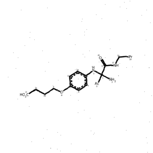 CC(=O)C(N)(Nc1ccc(OCCCC(=O)O)cc1)C(=O)NCC(C)C